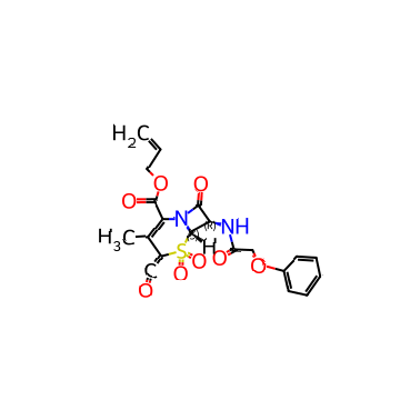 C=CCOC(=O)C1=C(C)C(=C=O)S(=O)(=O)[C@H]2[C@H](NC(=O)COc3ccccc3)C(=O)N12